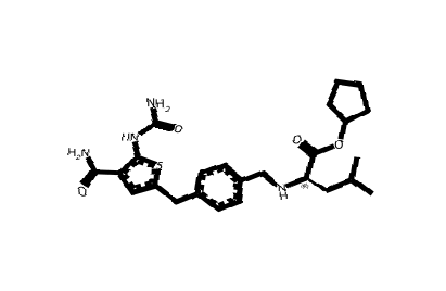 CC(C)C[C@@H](NCc1ccc(Cc2cc(C(N)=O)c(NC(N)=O)s2)cc1)C(=O)OC1CCCC1